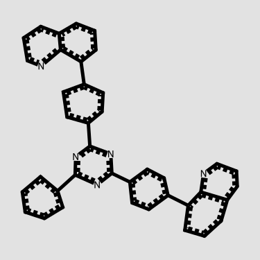 c1ccc(-c2nc(-c3ccc(-c4cccc5cccnc45)cc3)nc(-c3ccc(-c4cccc5cccnc45)cc3)n2)cc1